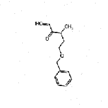 [CH]=CC(=O)C(C)CCOCc1ccccc1